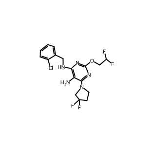 Nc1c(NCc2ccccc2Cl)nc(OCC(F)F)nc1N1CCC(F)(F)C1